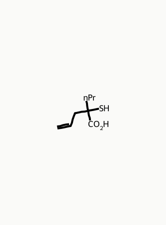 C=CCC(S)(CCC)C(=O)O